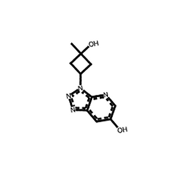 CC1(O)CC(n2nnc3cc(O)cnc32)C1